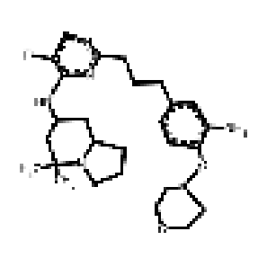 CC1(C)CC(Nc2nc(CCCc3ccc(OC4CCOCC4)c(N)c3)ncc2F)CC2CCCN21